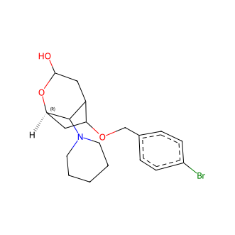 OC1CC2C(OCc3ccc(Br)cc3)C[C@@H](O1)C2N1CCCCC1